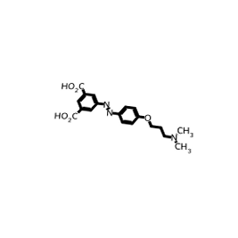 CN(C)CCCOc1ccc(N=Nc2cc(C(=O)O)cc(C(=O)O)c2)cc1